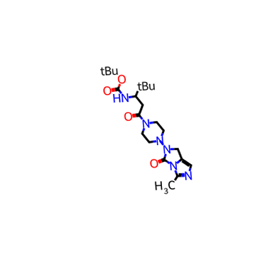 Cc1ncc2n1C(=O)N(N1CCN(C(=O)CC(NC(=O)OC(C)(C)C)C(C)(C)C)CC1)C2